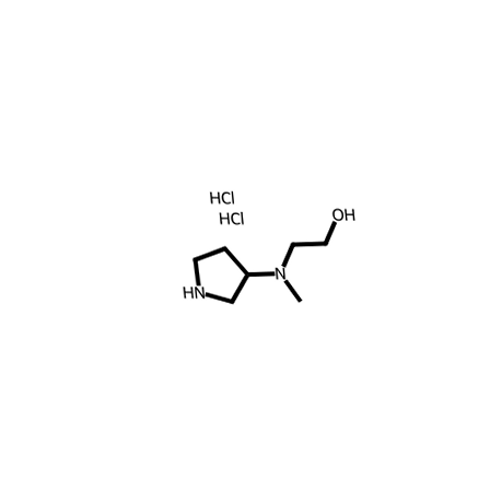 CN(CCO)C1CCNC1.Cl.Cl